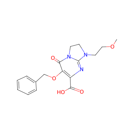 COCCN1CCn2c1nc(C(=O)O)c(OCc1ccccc1)c2=O